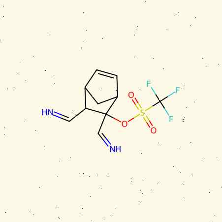 N=CC1C2C=CC(C2)C1(C=N)OS(=O)(=O)C(F)(F)F